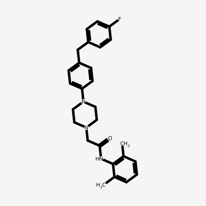 Cc1cccc(C)c1NC(=O)CN1CCN(c2ccc(Cc3ccc(F)cc3)cc2)CC1